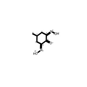 CC1CC(=NO)C(=O)/C(=N/O)C1